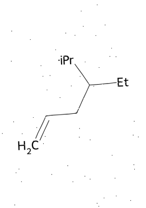 C=CCC(CC)[C](C)C